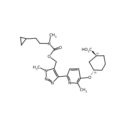 Cc1nc(-c2nnn(C)c2COC(=O)N(C)CCC2CC2)ccc1O[C@H]1CCC[C@H](C(=O)O)C1